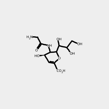 NCC(=O)NC1C(C(O)C(O)CO)OC(C(=O)O)=C[C@H]1O